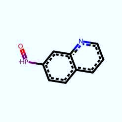 O=[PH]c1ccc2cccnc2c1